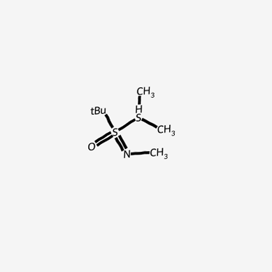 CN=S(=O)([SH](C)C)C(C)(C)C